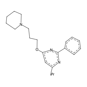 CC(C)c1cc(OCCCN2CCCCC2)nc(-c2ccccc2)n1